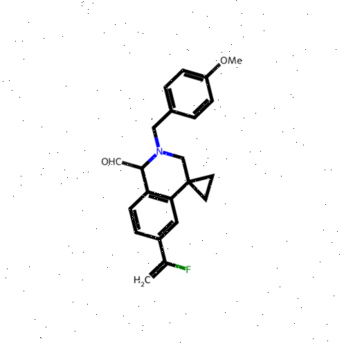 C=C(F)c1ccc2c(c1)C1(CC1)CN(Cc1ccc(OC)cc1)C2C=O